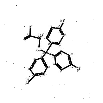 C=C(C)C(=O)OC(c1ccc(Cl)cc1)(c1ccc(Cl)cc1)c1ccc(Cl)cc1